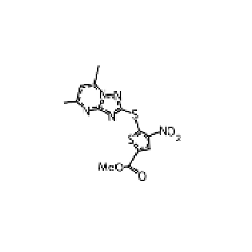 COC(=O)c1cc([N+](=O)[O-])c(Sc2nc3nc(C)cc(C)n3n2)s1